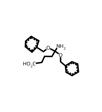 NC(CCCC(=O)O)(OCc1ccccc1)OCc1ccccc1